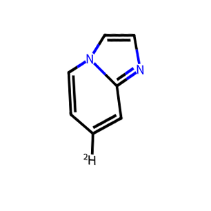 [2H]c1ccn2ccnc2c1